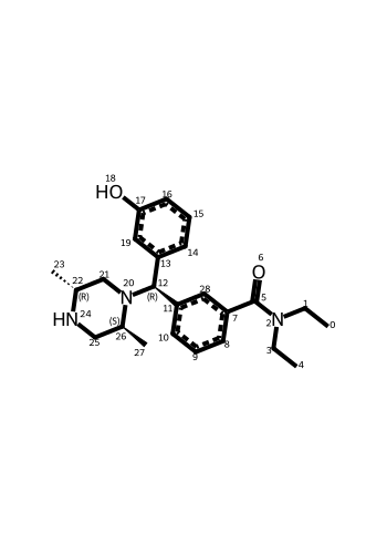 CCN(CC)C(=O)c1cccc([C@H](c2cccc(O)c2)N2C[C@@H](C)NC[C@@H]2C)c1